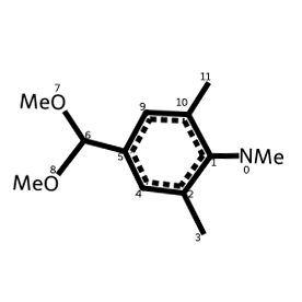 CNc1c(C)cc(C(OC)OC)cc1C